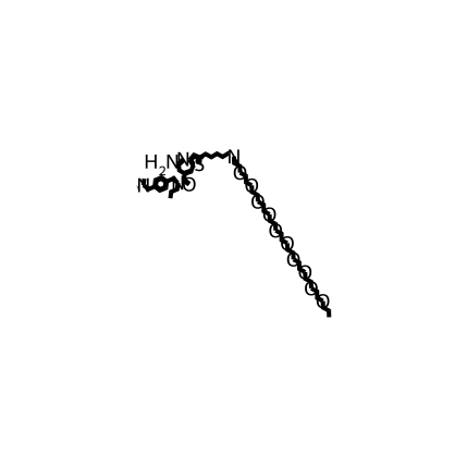 CCCOCCOCCOCCOCCOCCOCCOCCOCCOCCOCCN(C)CCCCCc1cc2c(s1)C=C(C(=O)N(CCC)Cc1ccc(CN(C)C)cc1)CC(N)=N2